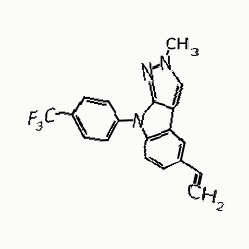 C=Cc1ccc2c(c1)c1cn(C)nc1n2-c1ccc(C(F)(F)F)cc1